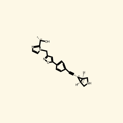 C[C@H](O)c1nccn1Cc1cc(-c2ccc(C#C[C@@H]3[C@H]4CNC[C@@H]34)cc2)on1